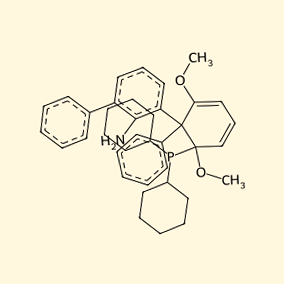 COC1=CC=CC(OC)(P(C2CCCCC2)C2CCCCC2)C1(c1ccccc1)c1cccc(-c2ccccc2)c1N